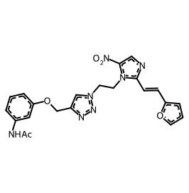 CC(=O)Nc1cccc(OCc2cn(CCn3c([N+](=O)[O-])cnc3C=Cc3ccco3)nn2)c1